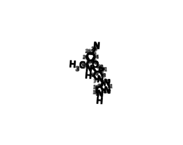 C[C@@H](NC(=O)C1CCN(c2ncnc3[nH]ccc23)CC12CC2)c1ccc(C#N)cc1